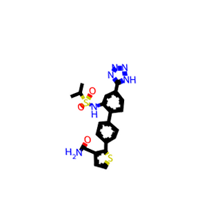 CC(C)S(=O)(=O)Nc1cc(-c2nnn[nH]2)ccc1-c1ccc(-c2sccc2C(N)=O)cc1